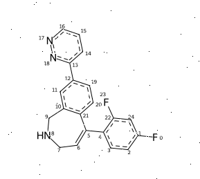 Fc1ccc(C2=CCNCc3cc(-c4cccnn4)ccc32)c(F)c1